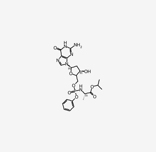 CC(C)OC(=O)[C@H](C)NP(=O)(OCC1O[C@@H](n2cnc3c(=O)[nH]c(N)nc32)C[C@H]1O)Oc1ccccc1